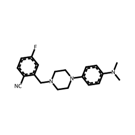 CN(C)c1ccc(N2CCN(Cc3cc(F)ccc3C#N)CC2)cc1